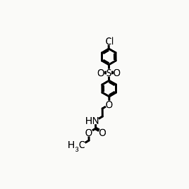 CCOC(=O)NCCOc1ccc(S(=O)(=O)c2ccc(Cl)cc2)cc1